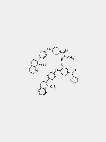 Cc1c(-c2ccc(OC3CCN(C(=O)C(C)F)CC3)cc2)ccc2cccnc12.Cc1c(-c2ccc(OC3CCN(C(=O)C4CCCO4)CC3F)cc2)ccc2cccnc12